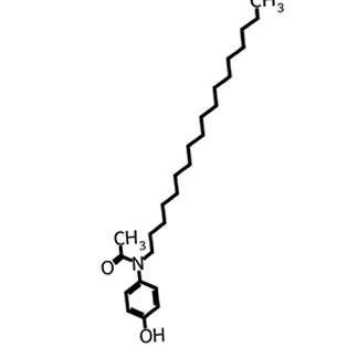 CCCCCCCCCCCCCCCCCCN(C(C)=O)c1ccc(O)cc1